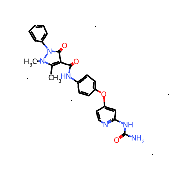 Cc1c(C(=O)Nc2ccc(Oc3ccnc(NC(N)=O)c3)cc2)c(=O)n(-c2ccccc2)n1C